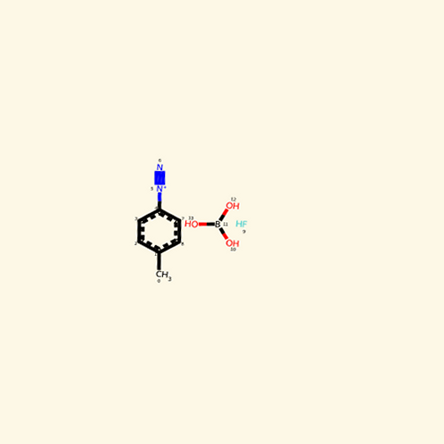 Cc1ccc([N+]#N)cc1.F.OB(O)O